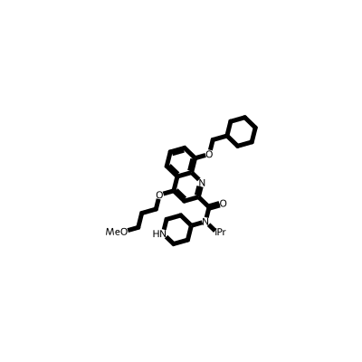 COCCCOc1cc(C(=O)N(C(C)C)C2CCNCC2)nc2c(OCC3CCCCC3)cccc12